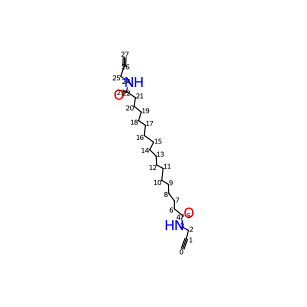 C#CCNC(=O)CCCCCCCCCCCCCCCCC(=O)NCC#C